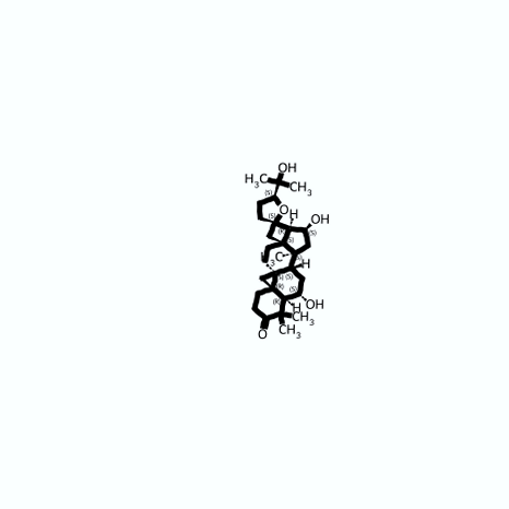 CC(C)(O)[C@@H]1CC[C@@]2(C[C@]34CC[C@@]56C[C@@]57CCC(=O)C(C)(C)[C@@H]7[C@@H](O)C[C@H]6[C@]3(C)C[C@H](O)[C@H]24)O1